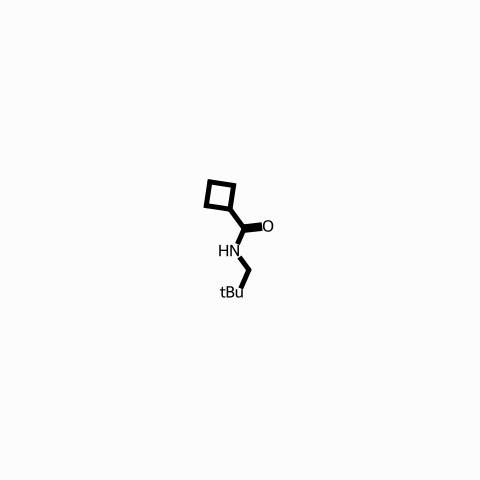 CC(C)(C)CNC(=O)C1CCC1